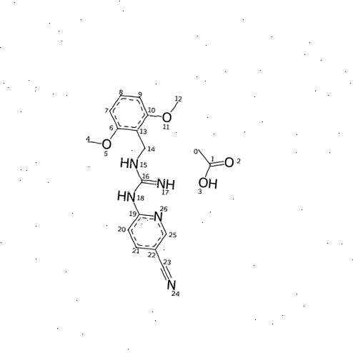 CC(=O)O.COc1cccc(OC)c1CNC(=N)Nc1ccc(C#N)cn1